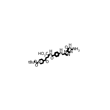 CC(C)(C)OC(=O)N1CCC(C(=O)CC[C@H](NC(=O)c2ccc(NCc3cnc4nc(N)[nH]c(=O)c4n3)cc2)C(=O)O)CC1